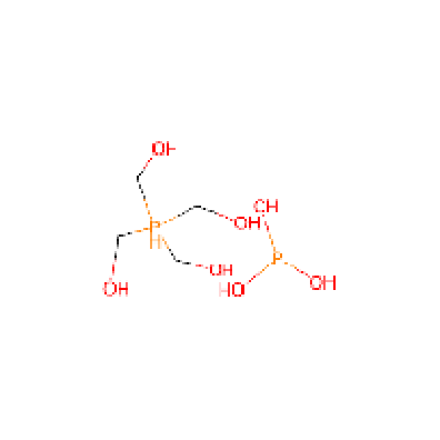 OC[PH](CO)(CO)CO.OP(O)O